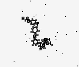 COc1ccc(F)c([C@H]2CC[C@H](COc3cccc([C@H](CP(C)(=O)O)C4CC4)c3)CC2)c1